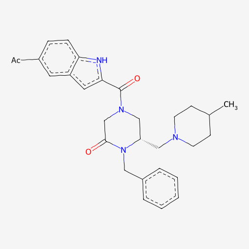 CC(=O)c1ccc2[nH]c(C(=O)N3CC(=O)N(Cc4ccccc4)[C@@H](CN4CCC(C)CC4)C3)cc2c1